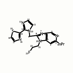 CCCc1cc2c(cn1)nc(Cn1ccnc1-c1nccs1)n2CCF